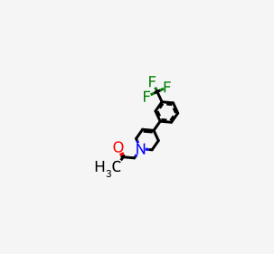 CC(=O)CN1CC=C(c2cccc(C(F)(F)F)c2)CC1